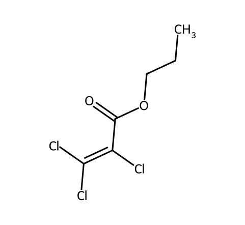 CCCOC(=O)C(Cl)=C(Cl)Cl